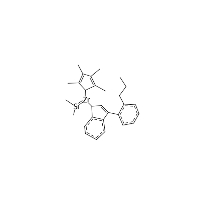 CCCc1ccccc1C1=C[CH]([Zr]([CH]2C(C)=C(C)C(C)=C2C)=[Si](C)C)c2ccccc21